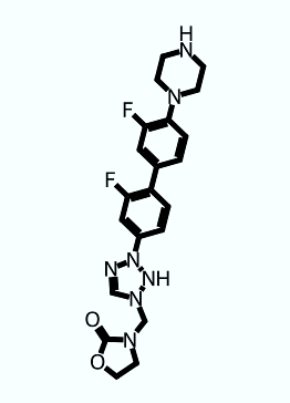 O=C1OCCN1CN1C=NN(c2ccc(-c3ccc(N4CCNCC4)c(F)c3)c(F)c2)N1